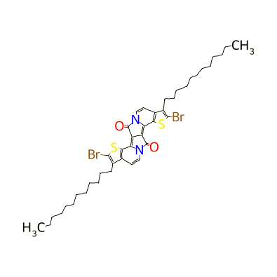 CCCCCCCCCCCCc1c(Br)sc2c1C=CN1C(=O)C3=C4c5sc(Br)c(CCCCCCCCCCCC)c5C=CN4C(=O)C3=C21